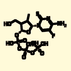 CC1C(CO)[C@@H](OP(=O)(O)OP(=O)(O)OP(=O)(O)O)O[C@H]1n1cc(F)c(N)nc1=S